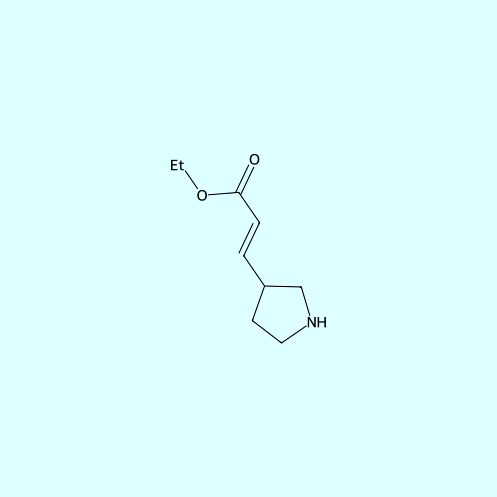 CCOC(=O)C=CC1CCNC1